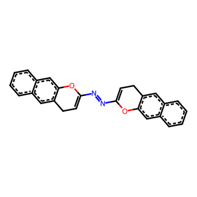 C1=C(N=NC2=CCc3cc4ccccc4cc3O2)Oc2cc3ccccc3cc2C1